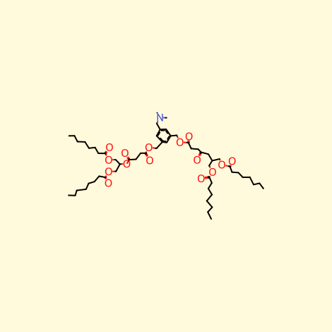 CCCCCCCC(=O)OCC(COC(=O)CCCCCCC)CC(=O)CCC(=O)OCc1cc(COC(=O)CCC(=O)OC(COC(=O)CCCCCCC)COC(=O)CCCCCCC)cc(CN(C)C)c1